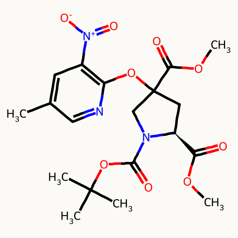 COC(=O)[C@@H]1CC(Oc2ncc(C)cc2[N+](=O)[O-])(C(=O)OC)CN1C(=O)OC(C)(C)C